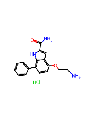 Cl.NCCOc1ccc(-c2ccccc2)c2[nH]c(C(N)=O)cc12